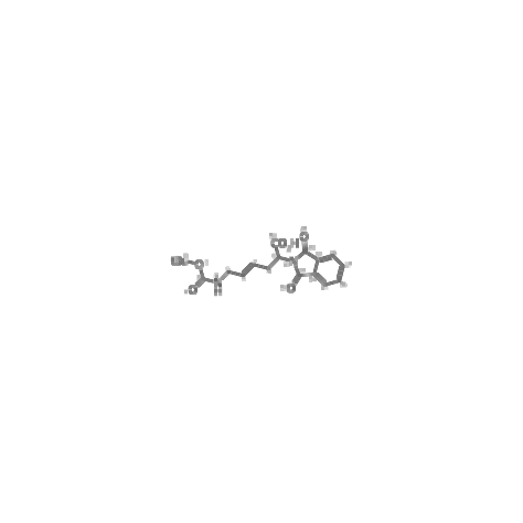 CC(C)(C)OC(=O)NCC=CCC(C(=O)O)N1C(=O)c2ccccc2C1=O